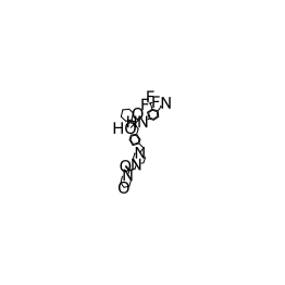 N#Cc1ccc(NC(=O)C(O)(Cc2cccc(CN3CCN(CC(=O)N4CCOCC4)CC3)c2)C2CCCCC2)cc1C(F)(F)F